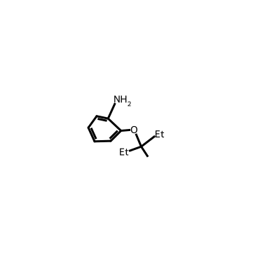 CCC(C)(CC)Oc1ccccc1N